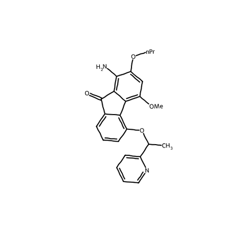 CCCOc1cc(OC)c2c(c1N)C(=O)c1cccc(OC(C)c3ccccn3)c1-2